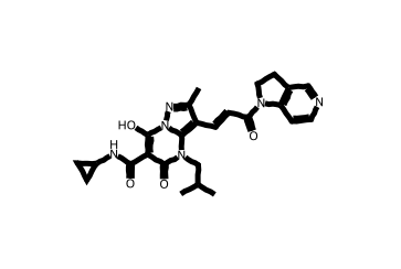 Cc1nn2c(O)c(C(=O)NC3CC3)c(=O)n(CC(C)C)c2c1C=CC(=O)N1CCc2cnccc21